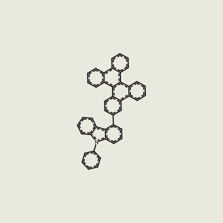 c1ccc(-n2c3ccccc3c3c(-c4ccc5c(c4)c4ccccc4c4c6ccccc6c6ccccc6c54)cccc32)cc1